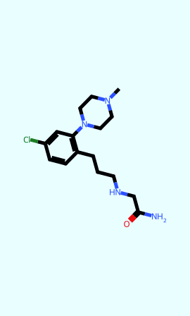 CN1CCN(c2cc(Cl)ccc2CCCNCC(N)=O)CC1